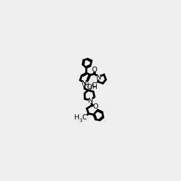 CC(CC(=O)N1CCC(O)(CN2C=C(C(=O)N3CCC[C@@H]3C)C(c3ccccc3)=CC2)CC1)c1ccccc1